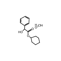 Cl.O.O=C(OC1CCCCC1)C(O)c1ccccc1